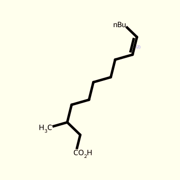 CCCC/C=C\CCCCCC(C)CC(=O)O